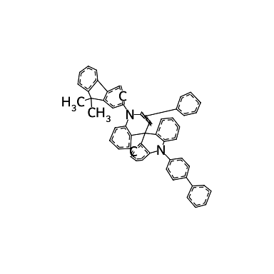 CC1(C)c2ccccc2-c2ccc(N3c4ccccc4C4(c5ccccc5N(c5ccc(-c6ccccc6)cc5)c5ccccc54)c4cc(-c5ccccc5)ccc43)cc21